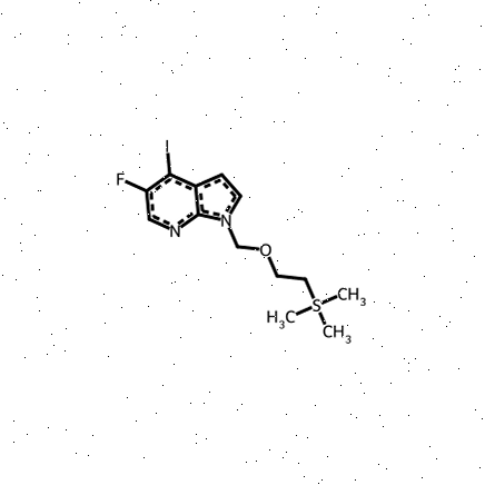 CS(C)(C)CCOCn1ccc2c(I)c(F)cnc21